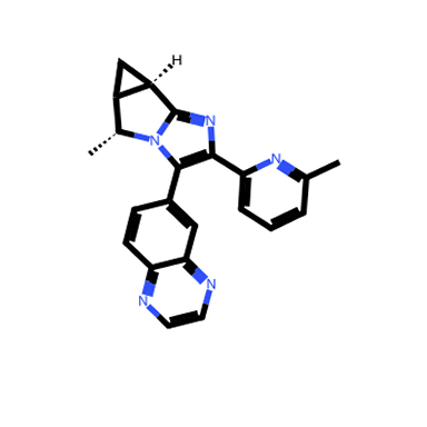 Cc1cccc(-c2nc3n(c2-c2ccc4nccnc4c2)[C@H](C)C2C[C@@H]32)n1